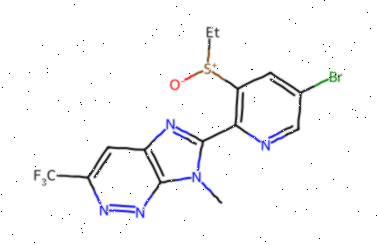 CC[S+]([O-])c1cc(Br)cnc1-c1nc2cc(C(F)(F)F)nnc2n1C